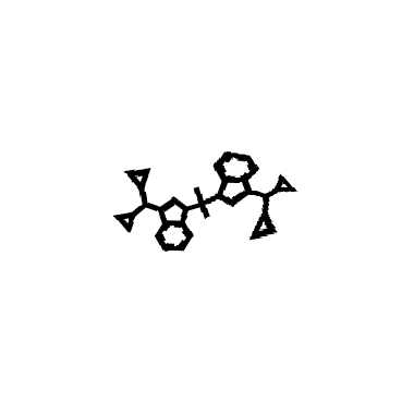 CC(C)(C1C=C(C(C2CC2)C2CC2)c2ccccc21)C1C=C(C(C2CC2)C2CC2)c2ccccc21